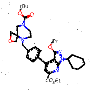 CCOC(=O)c1cc(-c2ccc(CN3CCN(C(=O)OC(C)(C)C)CC34COC4)cc2)c2c(OC(C)C)nn(C3CCCCC3)c2n1